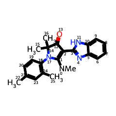 CNC1=C(c2nc3ccccc3[nH]2)C(=O)C(C)(C)N1c1ccc(C)cc1C